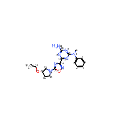 CN(c1ccccc1)c1nc(N)nc(-c2noc(N3CC[C@H](OCC(F)(F)F)C3)n2)n1